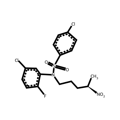 C[C@H](CCCN(c1cc(Cl)ccc1F)S(=O)(=O)c1ccc(Cl)cc1)[N+](=O)[O-]